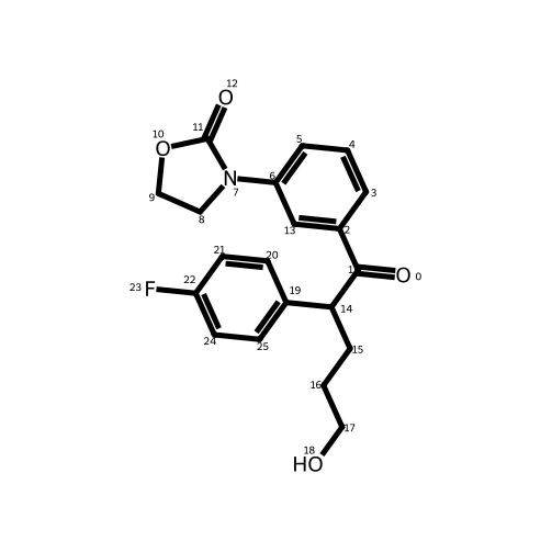 O=C(c1cccc(N2CCOC2=O)c1)C(CCCO)c1ccc(F)cc1